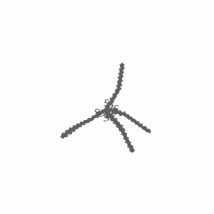 CCCCCCCCCCCCCCCCCCCC(=S)OCC(COC(=S)CCCCCCCCCCCCCCCCCCC)(COC(=S)CCCCCCCCCCCCCCCCCCC)COC(=S)CCCCCCCCCCCCCCCCCCC